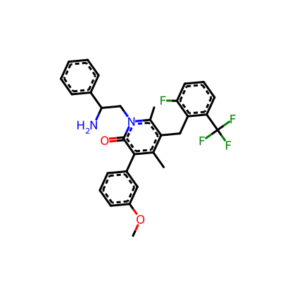 COc1cccc(-c2c(C)c(Cc3c(F)cccc3C(F)(F)F)c(C)n(CC(N)c3ccccc3)c2=O)c1